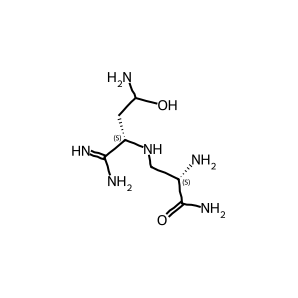 N=C(N)[C@H](CC(N)O)NC[C@H](N)C(N)=O